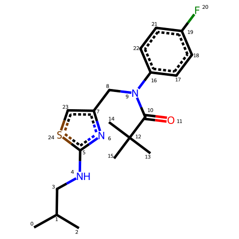 CC(C)CNc1nc(CN(C(=O)C(C)(C)C)c2ccc(F)cc2)cs1